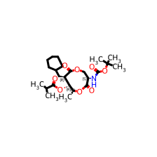 CC(C)C(=O)O[C@H]1[C@H](C)OC(=O)[C@@H](NC(=O)OC(C)(C)C)COC(=O)[C@@H]1CC1CCCCC1